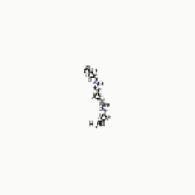 COc1ccc(/C=C/C(=O)OCc2cccc(COC(=O)/C=C/c3ccc(OC)cc3)c2)cc1